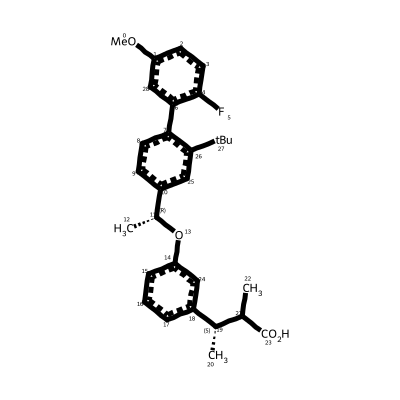 COc1ccc(F)c(-c2ccc([C@@H](C)Oc3cccc([C@@H](C)C(C)C(=O)O)c3)cc2C(C)(C)C)c1